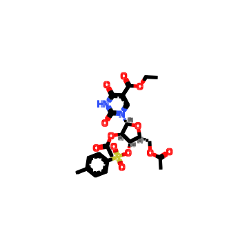 CCOC(=O)c1cn([C@@H]2O[C@H](COC(C)=O)[C@H](OS(=O)(=O)c3ccc(C)cc3)[C@H]2OC(C)=O)c(=O)[nH]c1=O